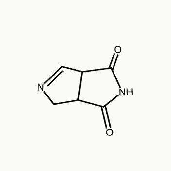 O=C1NC(=O)C2CN=CC12